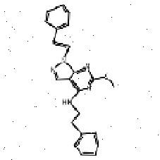 CSc1nc(NCCc2ccccc2)c2cnn(/C=C/c3ccccc3)c2n1